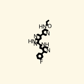 CCC(=O)Nc1cncc(-c2cnc3[nH]nc(-c4cc5c(-c6cccc(F)c6)cncc5[nH]4)c3c2)c1